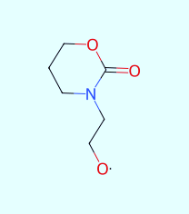 [O]CCN1CCCOC1=O